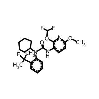 COc1ccc(NC(=O)N(c2ccccc2C(C)(C)F)C2CCCCC2)c(OC(F)F)n1